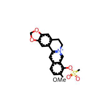 COc1ccc2cc3[n+](cc2c1OS(C)(=O)=O)CCc1cc2c(cc1-3)OCO2